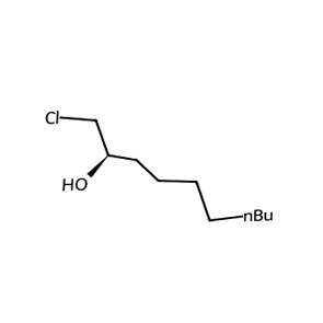 CCCCCCCC[C@@H](O)CCl